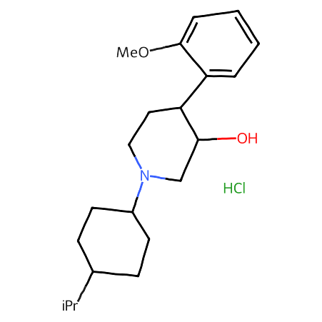 COc1ccccc1C1CCN(C2CCC(C(C)C)CC2)CC1O.Cl